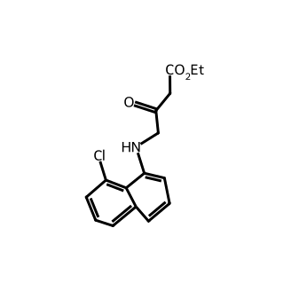 CCOC(=O)CC(=O)CNc1cccc2cccc(Cl)c12